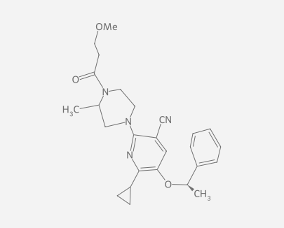 COCCC(=O)N1CCN(c2nc(C3CC3)c(O[C@H](C)c3ccccc3)cc2C#N)CC1C